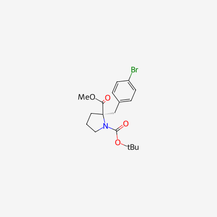 COC(=O)[C@]1(Cc2ccc(Br)cc2)CCCN1C(=O)OC(C)(C)C